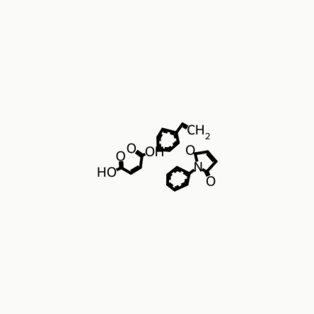 C=Cc1ccccc1.O=C(O)/C=C\C(=O)O.O=C1C=CC(=O)N1c1ccccc1